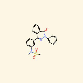 CN(c1cccc(-c2nn(-c3ccccc3)c(=O)c3ccccc23)c1)S(C)(=O)=O